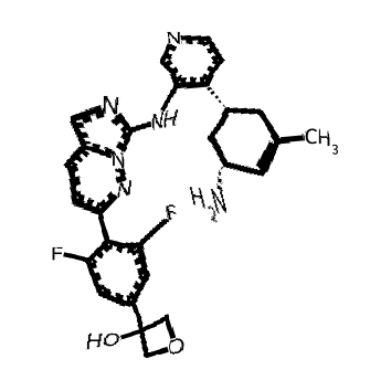 CC1=C[C@H](N)C[C@H](c2ccncc2Nc2ncc3ccc(-c4c(F)cc(C5(O)COC5)cc4F)nn23)C1